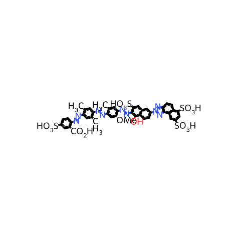 COc1cc(N=Nc2cc(C)c(N=Nc3ccc(S(=O)(=O)O)cc3C(=O)O)cc2C)c(C)cc1N=Nc1c(S(=O)(=O)O)cc2cc(-n3nc4ccc5c(S(=O)(=O)O)cc(S(=O)(=O)O)cc5c4n3)ccc2c1O